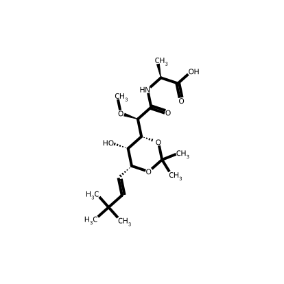 CO[C@@H](C(=O)N[C@@H](C)C(=O)O)[C@@H]1OC(C)(C)O[C@H](/C=C/C(C)(C)C)[C@@H]1O